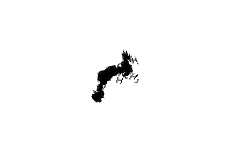 CC(NC(=O)c1ccc2ccc(OCc3ccc4ccccc4n3)cc2c1)c1ccc(-c2nnn[nH]2)cc1